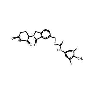 Cc1c(F)cc(NC(=O)OCc2ccc3c(c2)C(=O)N(C2CCC(=O)NC2=O)C3)cc1F